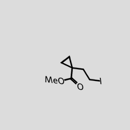 COC(=O)C1(CCI)CC1